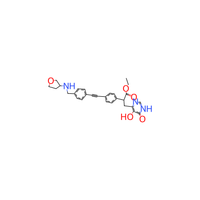 CCOC(=O)C(Cc1nc[nH]c(=O)c1O)c1ccc(C#Cc2ccc(CNC3CCOC3)cc2)cc1